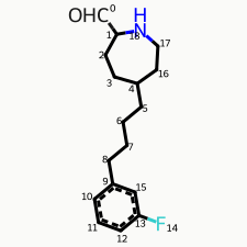 O=CC1CCC(CCCCc2cccc(F)c2)CCN1